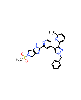 Cc1cccc(-c2nn(Cc3ccccc3)cc2-c2ccnc(-c3nc4c([nH]3)CN(S(C)(=O)=O)C4)c2)n1